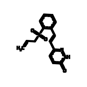 C=CCS(=O)(=O)c1ccccc1C=Cc1ccc(=O)[nH]n1